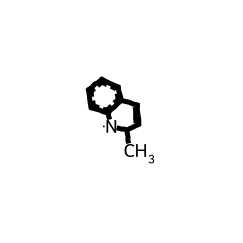 CC1C=Cc2ccccc2[N]1